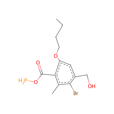 CCCCOc1cc(CO)c(Br)c(C)c1C(=O)OP